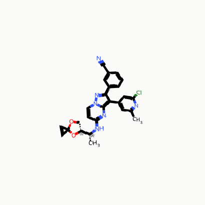 Cc1cc(-c2c(-c3cccc(C#N)c3)nn3ccc(N[C@H](C)[C@H]4COC5(C=C5)O4)nc23)cc(Cl)n1